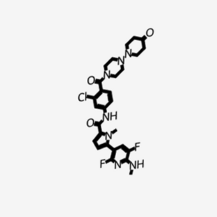 CNc1nc(F)c(-c2ccc(C(=O)Nc3ccc(C(=O)N4CCN(N5CCC(=O)CC5)CC4)c(Cl)c3)n2C)cc1F